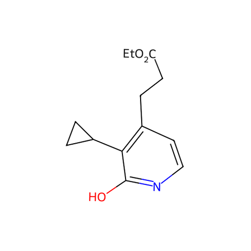 CCOC(=O)CCc1ccnc(O)c1C1CC1